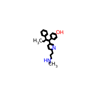 CCC(=C(c1ccc(O)cc1)c1ccc(CCCNC)nc1)c1ccccc1